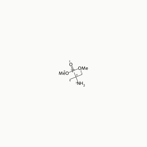 COP(=O)(OC)C(C)(C)N